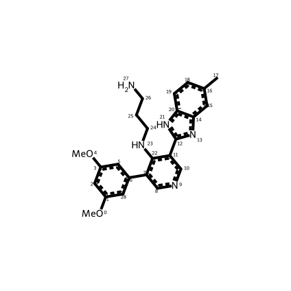 COc1cc(OC)cc(-c2cncc(-c3nc4cc(C)ccc4[nH]3)c2NCCCN)c1